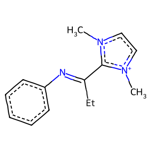 CC/C(=N\c1ccccc1)c1n(C)cc[n+]1C